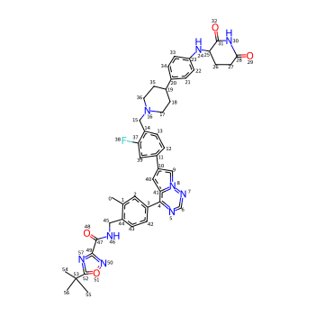 Cc1cc(-c2ncnn3cc(-c4ccc(CN5CCC(c6ccc(NC7CCC(=O)NC7=O)cc6)CC5)c(F)c4)cc23)ccc1CNC(=O)c1noc(C(C)(C)C)n1